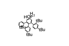 CC(C)(C)c1ccc(-c2cccc(-c3ccccc3)c2-c2ccc(C(C)(C)C)cc2C(C)(C)C)c(C(C)(C)C)c1.OP